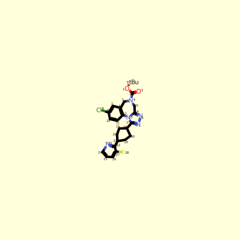 CC(C)(C)OC(=O)N1Cc2cc(Cl)ccc2-n2c(nnc2C2CCC(c3ncccc3F)CC2)C1